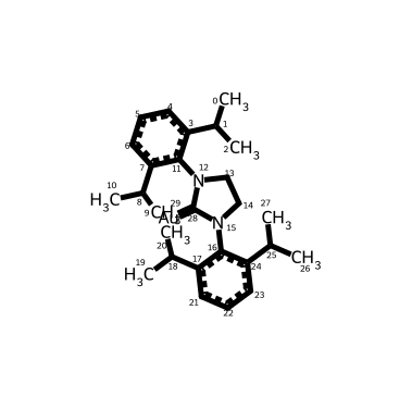 CC(C)c1cccc(C(C)C)c1N1CCN(c2c(C(C)C)cccc2C(C)C)[C]1=[Au]